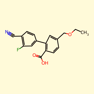 CCOCc1ccc(C(=O)O)c(-c2ccc(C#N)c(F)c2)c1